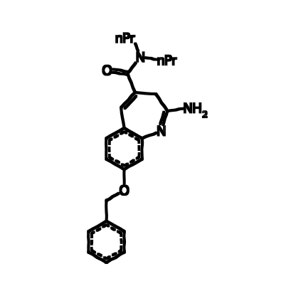 CCCN(CCC)C(=O)C1=Cc2ccc(OCc3ccccc3)cc2N=C(N)C1